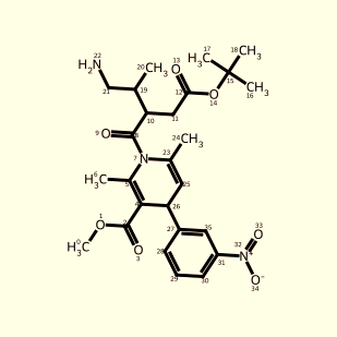 COC(=O)C1=C(C)N(C(=O)C(CC(=O)OC(C)(C)C)C(C)CN)C(C)=CC1c1cccc([N+](=O)[O-])c1